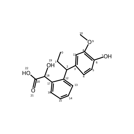 CCC(c1ccc(O)c(OC)c1)c1ccccc1C(O)C(=O)O